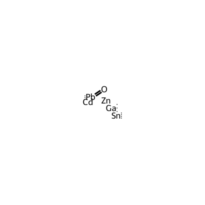 [Cd].[Ga].[O]=[Pb].[Sn].[Zn]